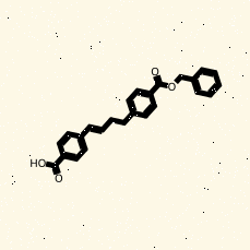 O=C(O)c1ccc(C=CCCc2ccc(C(=O)OCc3ccccc3)cc2)cc1